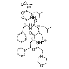 CC(C)C[C@H](NC(=O)[C@H](Cc1ccccc1)NC(=O)[C@H](CC(C)C)N(CO)C(=O)[C@H](CCc1ccccc1)NC(=O)CN1CCOCC1)C(=O)[C@@]1(C)CO1